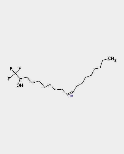 CCCCCCCC/C=C\CCCCCCCC(O)C(F)(F)F